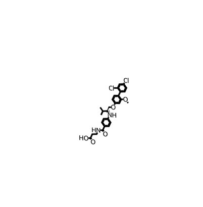 COc1cc(OC[C@@H](Nc2ccc(C(=O)NCCC(=O)O)cc2)C(C)C)ccc1-c1ccc(Cl)cc1Cl